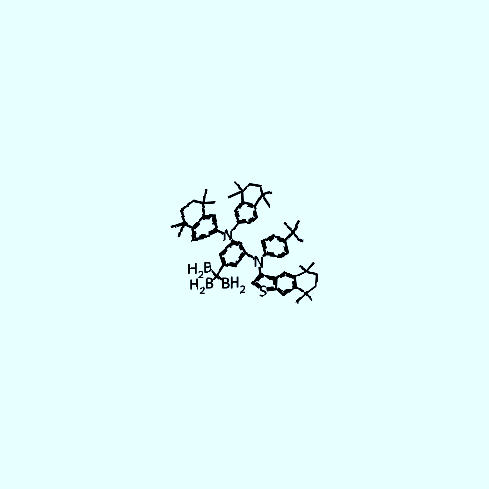 BC(B)(B)c1cc(N(c2ccc3c(c2)C(C)(C)CCC3(C)C)c2ccc3c(c2)C(C)(C)CCC3(C)C)cc(N(c2ccc(C(C)(C)C)cc2)c2csc3cc4c(cc23)C(C)(C)CCC4(C)C)c1